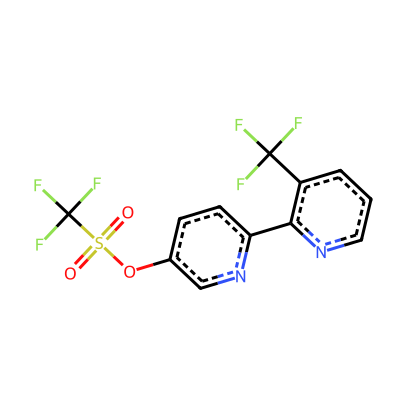 O=S(=O)(Oc1ccc(-c2ncccc2C(F)(F)F)nc1)C(F)(F)F